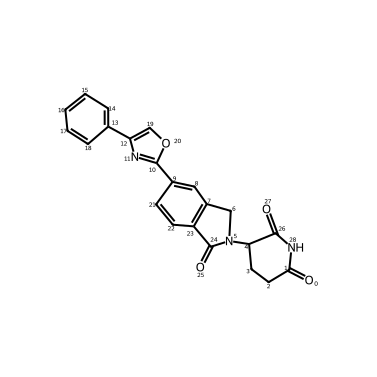 O=C1CCC(N2Cc3cc(-c4nc(-c5ccccc5)co4)ccc3C2=O)C(=O)N1